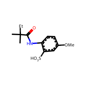 CCC(C)(C)C(=O)Nc1ccc(OC)cc1S(=O)(=O)O